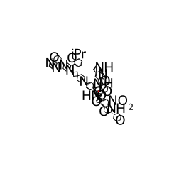 CC(C)Oc1ccccc1[C@@H]1CN([C@H]2CCOc3nccnc32)CCN1C1CC2(CCN(c3ccc(C(=O)NS(=O)(=O)c4cc5c(c([N+](=O)[O-])c4)N[C@H](C4CCOCC4)CO5)c(N4c5cc6cc[nH]c6nc5O[C@H]5COCC[C@@H]54)c3)CC2)C1